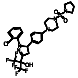 O=S(=O)(N1CCCC1)N1CCN(c2ccc(C3CC(C(O)(C(F)(F)F)C(F)(F)F)=NN3c3ccccc3Cl)cc2)CC1